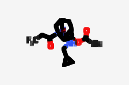 CC(C)(C)C(=O)O[C@H]1C2CC3CC(C2NCC2CC2)C1N(C(=O)CC(F)(F)F)C3